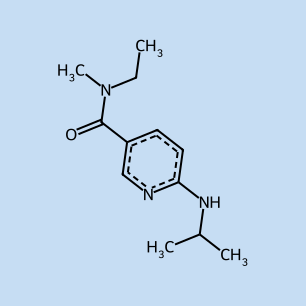 CCN(C)C(=O)c1ccc(NC(C)C)nc1